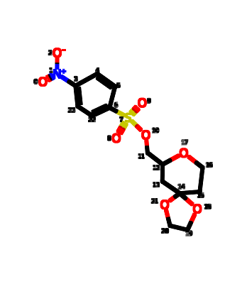 O=[N+]([O-])c1ccc(S(=O)(=O)OCC2CC3(CCO2)OCCO3)cc1